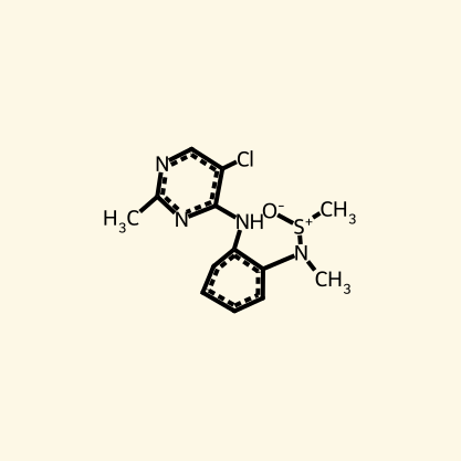 Cc1ncc(Cl)c(Nc2ccccc2N(C)[S+](C)[O-])n1